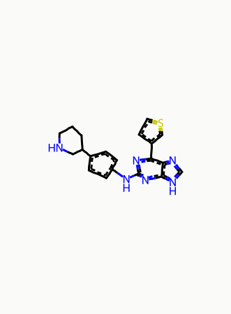 c1nc2c(-c3ccsc3)nc(Nc3ccc(C4CCCNC4)cc3)nc2[nH]1